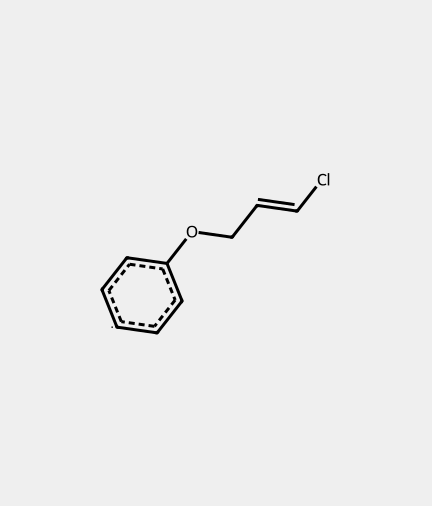 ClC=CCOc1cc[c]cc1